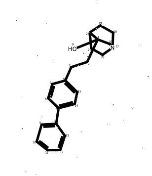 OC1(CCc2ccc(-c3ccccc3)cc2)CN2CCC1CC2